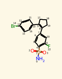 NS(=O)(=O)c1ccc(C2=C(c3ccc(Br)cc3)CCC2)cc1F